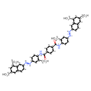 O=C(Nc1ccc(/N=N/c2ccc3cc(S(=O)(=O)O)cc(S(=O)(=O)O)c3c2)cc1C(=O)O)c1ccc(C(=O)Nc2ccc(/N=N/c3ccc4cc(S(=O)(=O)O)cc(S(=O)(=O)O)c4c3)cc2C(=O)O)cc1